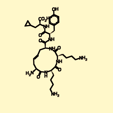 NCCCC[C@@H]1NC(=O)[C@H](CCCCN)NC(=O)[C@@H](N)C/C=C/C[C@@H](C(=O)N[C@@H](Cc2ccc(O)cc2)C(=O)N[C@@H](CC2CC2)C(=O)O)NC1=O